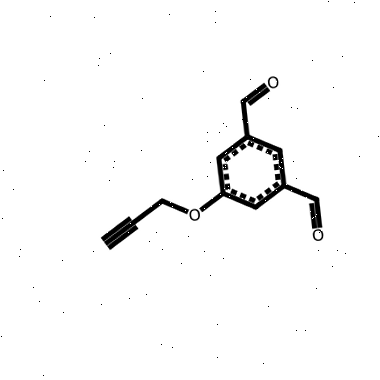 C#CCOc1cc(C=O)cc(C=O)c1